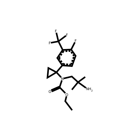 CCOC(=O)N(CC(C)(C)N)C1(c2ccc(F)c(C(F)(F)F)c2)CC1